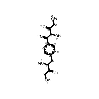 O=C(CO)C(O)Cc1cnc(C(=O)C(O)C(=O)CO)cn1